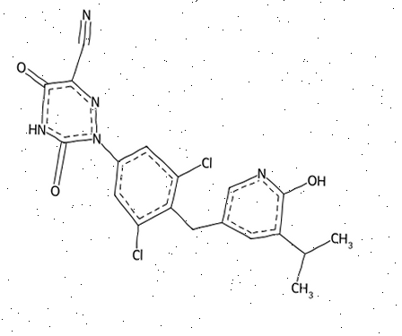 CC(C)c1cc(Cc2c(Cl)cc(-n3nc(C#N)c(=O)[nH]c3=O)cc2Cl)cnc1O